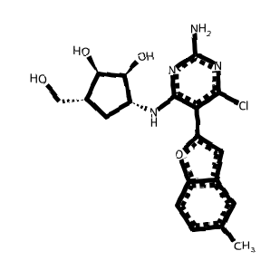 Cc1ccc2oc(-c3c(Cl)nc(N)nc3N[C@@H]3C[C@H](CO)[C@@H](O)[C@H]3O)cc2c1